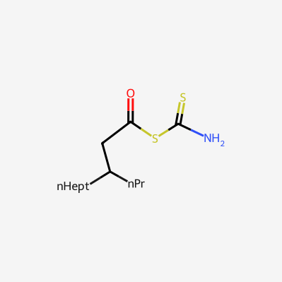 CCCCCCCC(CCC)CC(=O)SC(N)=S